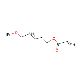 C=CC(=O)OCCC[SiH2]COC(C)C